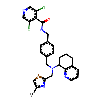 Cc1csc(CN(Cc2ccc(CNC(=O)c3c(Cl)cncc3Cl)cc2)C2CCCc3cccnc32)n1